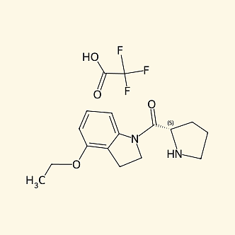 CCOc1cccc2c1CCN2C(=O)[C@@H]1CCCN1.O=C(O)C(F)(F)F